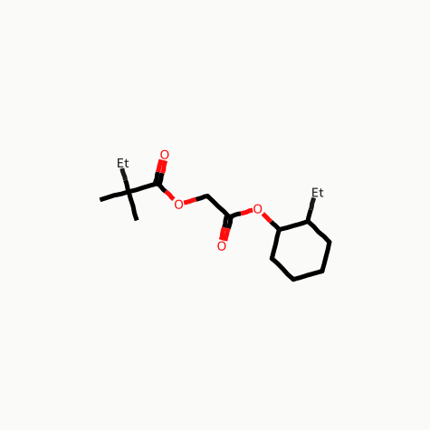 CCC1CCCCC1OC(=O)COC(=O)C(C)(C)CC